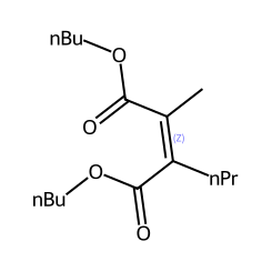 CCCCOC(=O)/C(C)=C(/CCC)C(=O)OCCCC